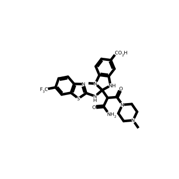 CN1CCN(C(=O)C(C(N)=O)C2(Nc3nc4ccc(C(F)(F)F)cc4s3)Nc3cc(C(=O)O)ccc3N2C)CC1